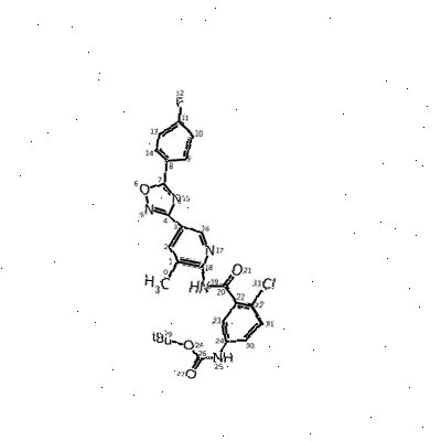 Cc1cc(-c2noc(-c3ccc(F)cc3)n2)cnc1NC(=O)c1cc(NC(=O)OC(C)(C)C)ccc1Cl